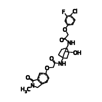 CN1Cc2ccc(OCC(=O)NC34CCC(NC(=O)COc5ccc(Cl)c(F)c5)(CC3)C(O)C4)cc2C1=O